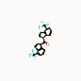 O=C(C1C=Cc2c1cccc2C(F)(F)F)C1C=Cc2c1cccc2C(F)(F)F